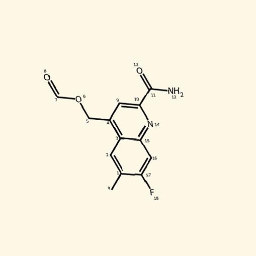 Cc1cc2c(COC=O)cc(C(N)=O)nc2cc1F